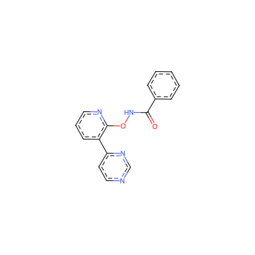 O=C(NOc1ncccc1-c1ccncn1)c1ccccc1